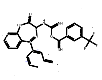 C=C/C=C(\C=C/C)C1=NC(NC(=N)OC(=N)c2cccc(C(F)(F)F)c2)C(=O)Nc2ccccc21